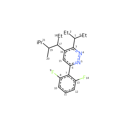 CCC(CC)c1nnc(-c2c(F)cccc2F)cc1C(CC)C(C)C(C)C